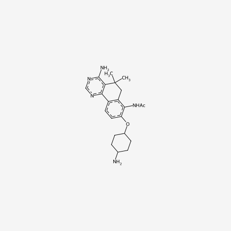 CC(=O)Nc1c(OC2CCC(N)CC2)ccc2c1CC(C)(C)c1c(N)ncnc1-2